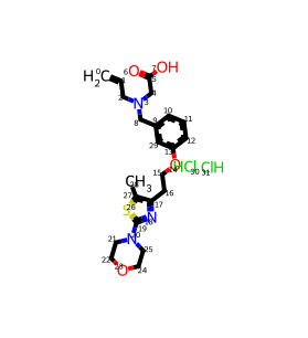 C=CCN(CC(=O)O)Cc1cccc(OCCc2nc(N3CCOCC3)sc2C)c1.Cl.Cl